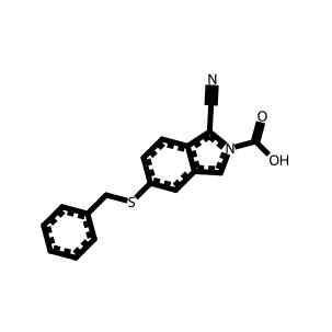 N#Cc1c2ccc(SCc3ccccc3)cc2cn1C(=O)O